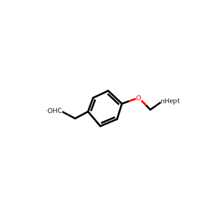 CCCCCCCCOc1ccc(C[C]=O)cc1